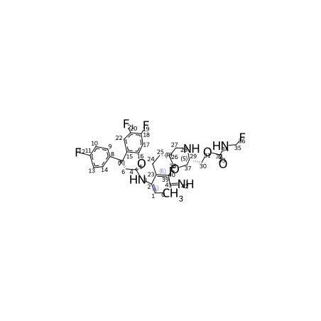 C/C=C(NC(=O)C[C@H](c1ccc(F)cc1)c1ccc(F)c(F)c1)\C(CC[C@@H]1CN[C@H](COC(=O)NCF)CO1)=C(\F)C=N